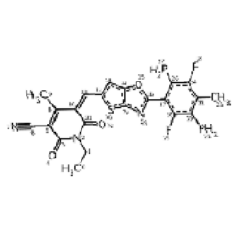 CCN1C(=O)C(C#N)=C(C)/C(=C/c2cc3oc(-c4c(F)c(P)c(C)c(F)c4P)nc3s2)C1=O